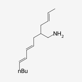 CC=CCC(CN)CC=CC=CCCCC